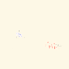 CCCCCCCCCCCCCCCCCCCCCCCC#CC(=Nc1ccc(CCCCCCCCCCCCCCCCCCCCCCC)cc1)C(CCCC)=Nc1ccc(CCCCCCCCCCCCCCCCCCCCCCC)cc1.CCc1ccc(O)c(O)c1C(=O)[O-].CCc1ccc(O)c(O)c1C(=O)[O-].[Ni+2]